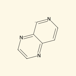 [c]1nccc2nccnc12